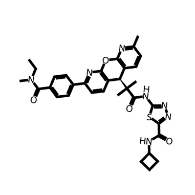 CCN(C)C(=O)c1ccc(-c2ccc3c(n2)Oc2nc(C)ccc2[C@H]3C(C)(C)C(=O)Nc2nnc(C(=O)NC3CCC3)s2)cc1